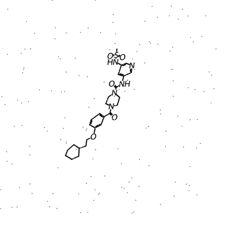 CS(=O)(=O)Nc1cncc(NC(=O)N2CCN(C(=O)c3cccc(OCCC4CCCCC4)c3)CC2)c1